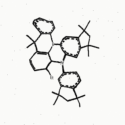 CCC1C=CC2=C3B(c4cc5c(cc4N(c4ccc6c(c4)C(C)(C)CC6(C)C)C31)C(C)(C)CC5(C)C)c1ccccc1C2(C)C